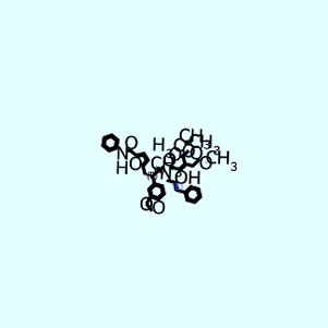 COC(=O)CC(C(=O)OC(C)(C)C)=C(O)C(=O)N(C/C=C/c1ccccc1)[C@H](C)[C@H](Cc1ccc(C(=O)Nc2ccccc2)o1)c1ccc2c(c1)OCO2